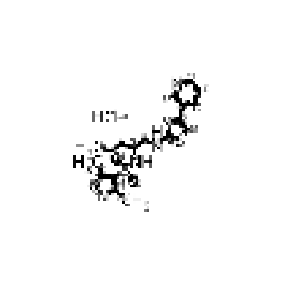 CCCC(CNc1nc(-c2cccnc2)cs1)NS(=O)(=O)c1c(C)noc1C.Cl